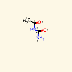 CC(=O)NC(N)=O